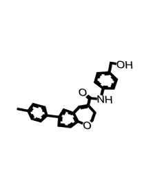 Cc1ccc(-c2ccc3c(c2)C=C(C(=O)Nc2ccc(CO)cc2)CCO3)cc1